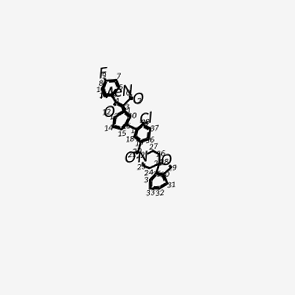 CNC(=O)c1c(-c2ccc(F)cc2)oc2ccc(-c3cc(C(=O)N4CCC5(CC4)OCc4ccccc45)ccc3Cl)cc12